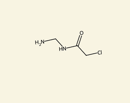 NCNC(=O)CCl